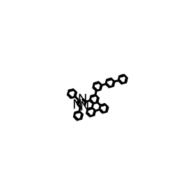 c1ccc(-c2ccc(-c3cccc(-c4cc(-c5nc(-c6ccccc6)nc(-c6ccccc6)n5)c5c6ccccc6c6ccccc6c5c4)c3)cc2)cc1